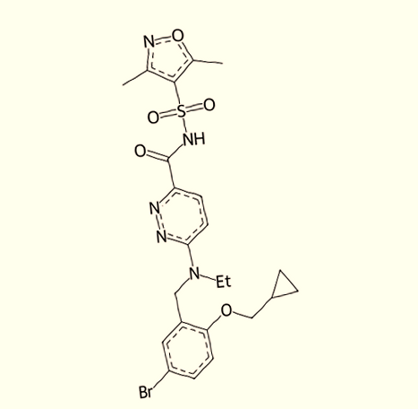 CCN(Cc1cc(Br)ccc1OCC1CC1)c1ccc(C(=O)NS(=O)(=O)c2c(C)noc2C)nn1